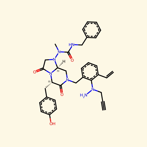 C#CCN(N)c1c(C=C)cccc1CN1C[C@H]2N(C(=O)CN2N(C)C(=O)NCc2ccccc2)[C@@H](Cc2ccc(O)cc2)C1=O